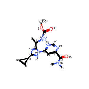 CC(NC(=O)OC(C)(C)C)c1nc(C2CC2)nn1-c1cc(C(=O)N(C)C)ncn1